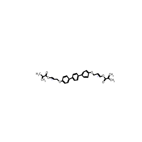 C=C(C)C(=O)O/C=C/COc1ccc(-c2ccc(-c3ccc(OC/C=C/OC(=O)C(=C)C)cc3)cc2)cc1